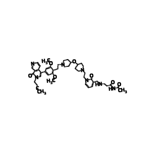 CCCCn1cc(-c2cc(OC)c(CCN3CCC(OC4CCN(CCn5cccc(CNCCC(=O)NC(C)=O)c5=O)CC4)CC3)c(OC)c2)c2ccncc2c1=O